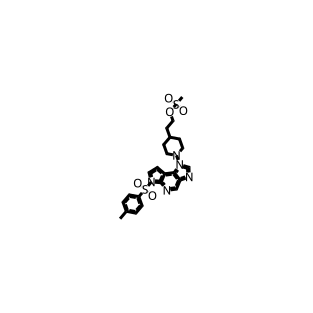 Cc1ccc(S(=O)(=O)n2ccc3c4c(cnc32)ncn4N2CCC(CCOS(C)(=O)=O)CC2)cc1